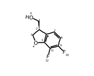 OC[C@@H]1COc2c1ccc(F)c2F